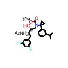 C=C(C)c1cccc(C2(N(C[C@@H](O)[C@H](Cc3cc(F)cc(F)c3)NC(C)=O)C(=O)OC(C)(C)C)CC2)c1